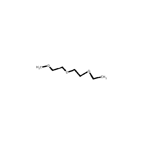 [CH2]COCCOCCOC